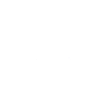 COc1ccc(Br)c2c1CCNC2